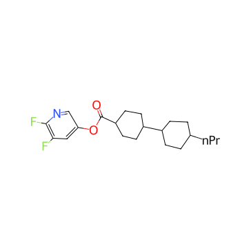 CCCC1CCC(C2CCC(C(=O)Oc3cnc(F)c(F)c3)CC2)CC1